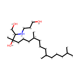 CC(C)CCCC(C)CCCC(C)CCCC(C)(O)C(CO)NCCCO